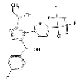 CCC(C)c1ncc(C(O)c2ccc(F)cc2)n1-c1ccc(C(O)(C(F)(F)F)C(F)(F)F)cc1